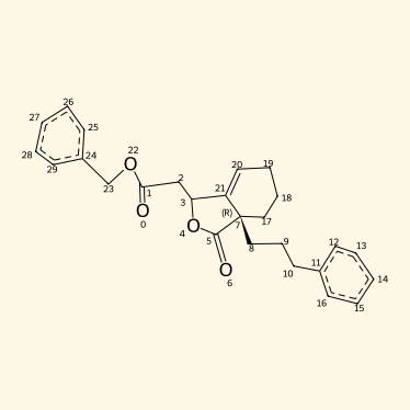 O=C(CC1OC(=O)[C@@]2(CCCc3ccccc3)CCCC=C12)OCc1ccccc1